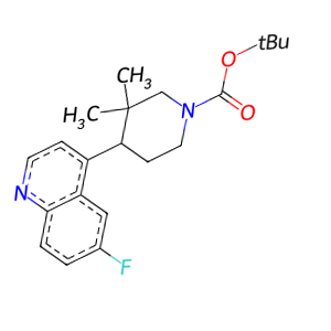 CC(C)(C)OC(=O)N1CCC(c2ccnc3ccc(F)cc23)C(C)(C)C1